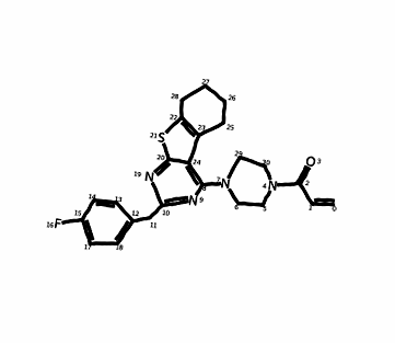 C=CC(=O)N1CCN(c2nc(Cc3ccc(F)cc3)nc3sc4c(c23)CCCC4)CC1